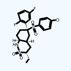 CC[C@H]1C[C@@H]2C[C@](c3cc(F)ccc3F)(S(=O)(=O)c3ccc(Cl)cc3)CC[C@@H]2NS1(=O)=O